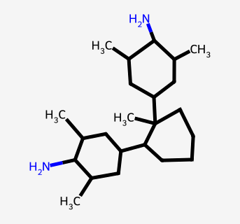 CC1CC(C2CCCCC2(C)C2CC(C)C(N)C(C)C2)CC(C)C1N